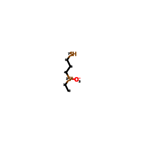 CC[S+]([O-])CCCS